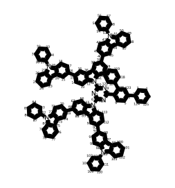 c1ccc(-c2ccc(-c3nc(-n4c5ccc(-c6ccc7c(c6)c6ccccc6n7-c6ccccc6)cc5c5cc(-c6ccc7c(c6)c6ccccc6n7-c6ccccc6)ccc54)nc(-n4c5ccc(-c6ccc7c(c6)c6ccccc6n7-c6ccccc6)cc5c5cc(-c6ccc7c(c6)c6ccccc6n7-c6ccccc6)ccc54)n3)c(-c3ccccc3)c2)cc1